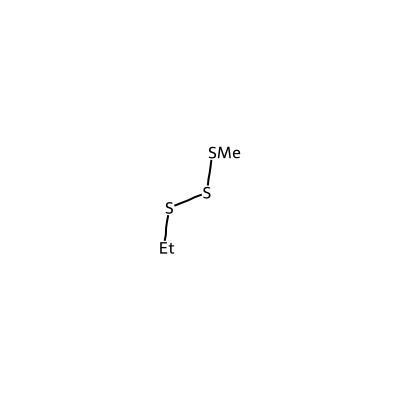 CCSSSC